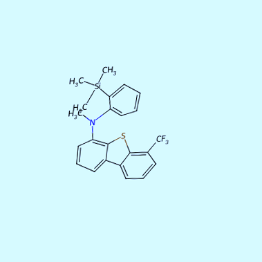 CN(c1ccccc1[Si](C)(C)C)c1cccc2c1sc1c(C(F)(F)F)cccc12